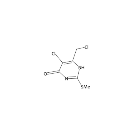 CSc1nc(=O)c(Cl)c(CCl)[nH]1